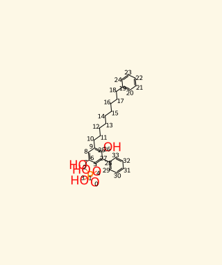 O=P(O)(O)Oc1c(O)cc(CCCCCCCCCc2ccccc2)c(O)c1-c1ccccc1